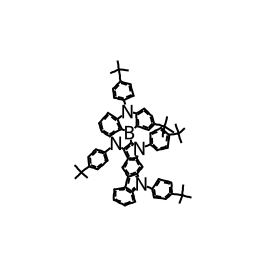 CC(C)(C)c1ccc(N2c3ccc(C(C)(C)C)cc3B3c4c2cccc4N(c2ccc(C(C)(C)C)cc2)c2c3n(-c3ccc(C(C)(C)C)cc3)c3cc4c(cc23)c2ccccc2n4-c2ccc(C(C)(C)C)cc2)cc1